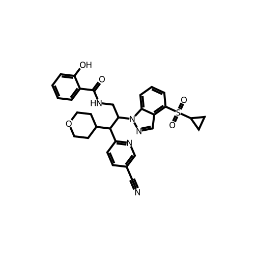 N#Cc1ccc(C(C2CCOCC2)C(CNC(=O)c2ccccc2O)n2ncc3c(S(=O)(=O)C4CC4)cccc32)nc1